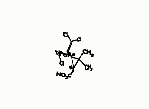 CC1(C)[C@H](C=C(Cl)Cl)[C@@H]1C(=O)O.CCCCCCl